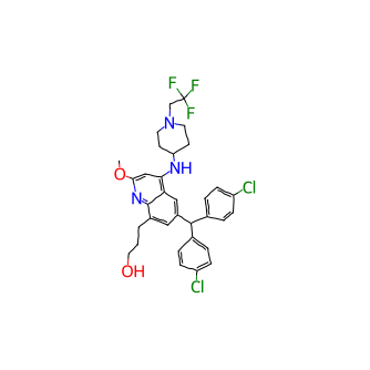 COc1cc(NC2CCN(CC(F)(F)F)CC2)c2cc(C(c3ccc(Cl)cc3)c3ccc(Cl)cc3)cc(CCCO)c2n1